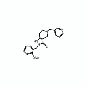 COc1ccccc1Cn1[nH]c2c(c1=O)CN(Cc1cccnc1)CC2